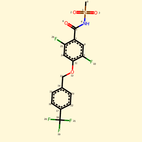 CS(=O)(=O)NC(=O)c1cc(F)c(OCc2ccc(C(F)(F)F)cc2)cc1F